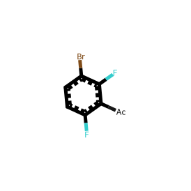 CC(=O)c1c(F)ccc(Br)c1F